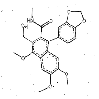 CNC(=O)c1c(CO)c(OC)c2cc(OC)c(OC)cc2c1-c1ccc2c(c1)OCO2